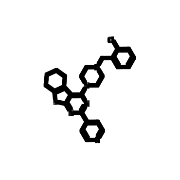 Clc1ccccc1CN1CCN(c2nc(-c3ccncc3)nc3sc4c(c23)CCCC4)CC1